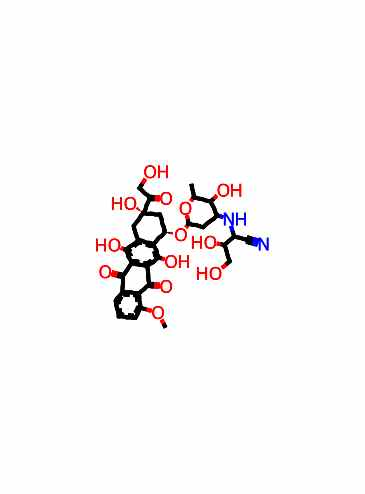 COc1cccc2c1C(=O)c1c(O)c3c(c(O)c1C2=O)C[C@@](O)(C(=O)CO)C[C@@H]3OC1CC(NC(C#N)C(O)CO)C(O)C(C)O1